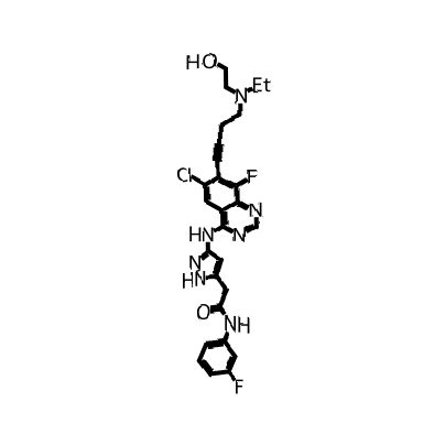 CCN(CCO)CCC#Cc1c(Cl)cc2c(Nc3cc(CC(=O)Nc4cccc(F)c4)[nH]n3)ncnc2c1F